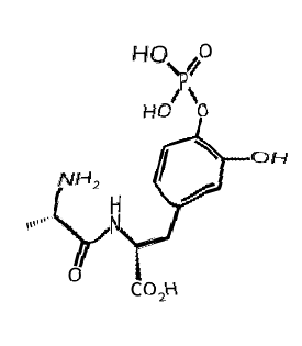 C[C@H](N)C(=O)N[C@@H](Cc1ccc(OP(=O)(O)O)c(O)c1)C(=O)O